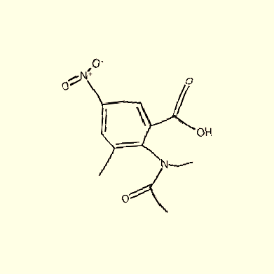 CC(=O)N(C)c1c(C)cc([N+](=O)[O-])cc1C(=O)O